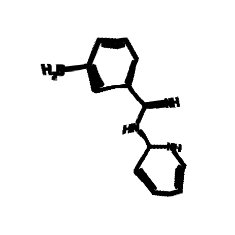 Bc1cccc(C(=N)NC2C=CC=CN2)c1